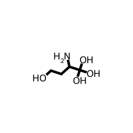 NC(CCO)C(O)(O)O